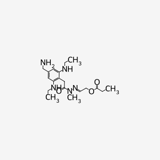 CCNc1cc(CN)cc(NCC)c1CC(=O)N(C)N=CCOC(=O)CC